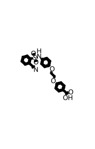 N#Cc1ccccc1S(=O)(=O)Nc1ccc(OCCOc2ccc(C(=O)O)cc2)cc1